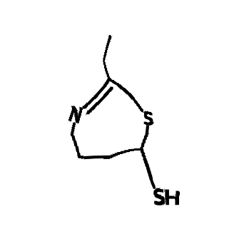 CC1=NCC(S)S1